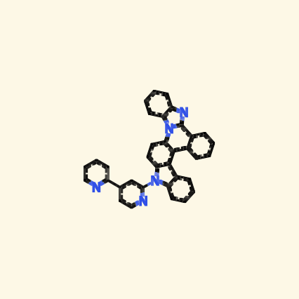 c1ccc(-c2ccnc(-n3c4ccccc4c4c5c6ccccc6c6nc7ccccc7n6c5ccc43)c2)nc1